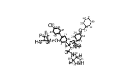 COc1cc(C(F)(F)C(NS(=O)(=O)c2ccc(OCC3CCCCC3)cc2)C(=O)N2C[C@H]3CNC[C@H]3C2)ccc1-c1ccc(Cl)cc1.O=C(O)C(F)(F)F